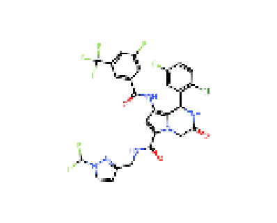 O=C1Cn2c(C(=O)NCc3ccn(C(F)F)n3)cc(NC(=O)c3cc(F)cc(C(F)(F)F)c3)c2C(c2cc(F)ccc2Cl)N1